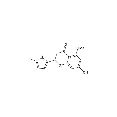 COc1cc(O)cc2c1C(=O)CC(c1ccc(C)s1)O2